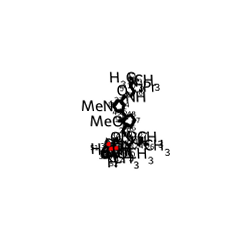 CNc1cc(C(=O)N[C@@H](CC(C)C)CN(C)C)cc(C2=C(OC)C(CN3O[C@@H](CN(C)C)[C@@H]([C@H](C)O)[C@H]3C(=O)N[C@H]3C[C@H]4C[C@@H]([C@@H]3C)C4(C)C)=CCC2)c1